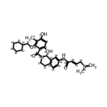 Cc1c(O)cc(O)c(C(=O)N2CCc3ccc(NC(=O)/C=C/CN(C)C)cc3C2)c1OCC1CCCCC1